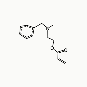 C=CC(=O)OCCN(C)Cc1ccccc1